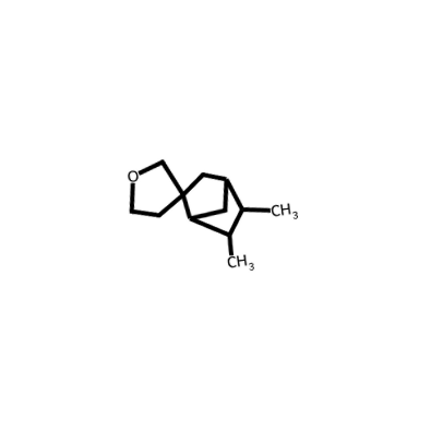 CC1C2CC(C1C)C1(CCOC1)C2